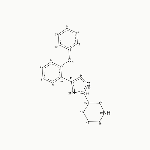 c1ccc(Oc2ccccc2-c2coc(C3CCCNC3)n2)cc1